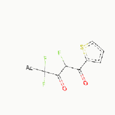 CC(=O)C(F)(F)C(=O)C(F)C(=O)c1cccs1